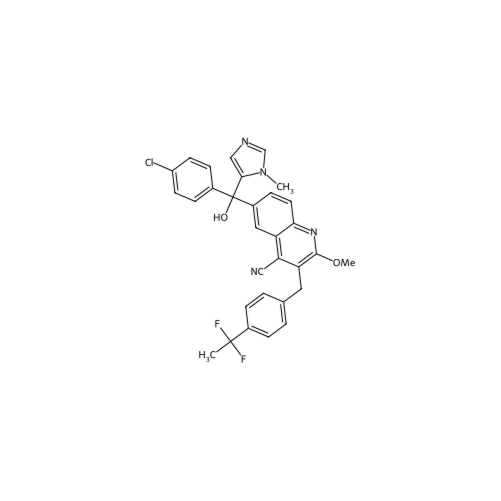 COc1nc2ccc(C(O)(c3ccc(Cl)cc3)c3cncn3C)cc2c(C#N)c1Cc1ccc(C(C)(F)F)cc1